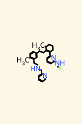 Cc1ccc(CCC2=C(c3cccc(NCF)n3)CCCC2C)cc1CCNCc1ccccn1